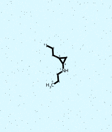 CCCNC1CC1CCI